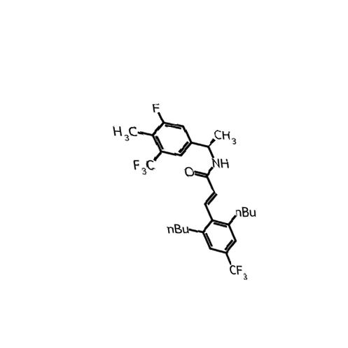 CCCCc1cc(C(F)(F)F)cc(CCCC)c1/C=C/C(=O)N[C@H](C)c1cc(F)c(C)c(C(F)(F)F)c1